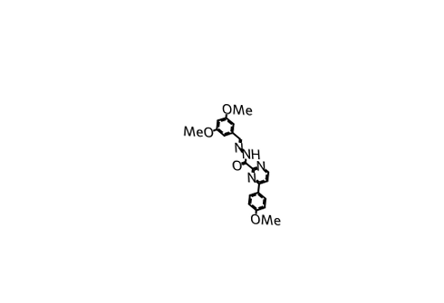 COc1ccc(-c2ccnc(C(=O)NN=Cc3cc(OC)cc(OC)c3)n2)cc1